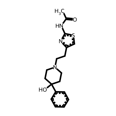 CC(=O)Nc1nc(CCN2CCC(O)(c3ccccc3)CC2)cs1